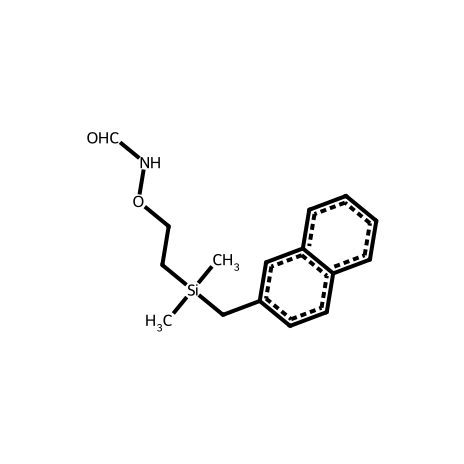 C[Si](C)(CCONC=O)Cc1ccc2ccccc2c1